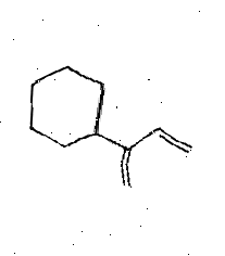 [CH]=C(C=C)C1CCCCC1